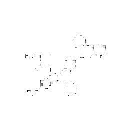 CN(C)C(=O)Cn1c(-c2ccc(OCc3ccccc3N3CCOCC3)cc2)c(C2CCCCC2)c2sc(C(=O)O)cc21